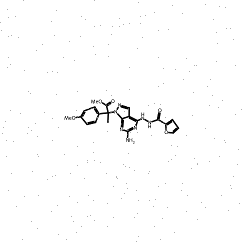 COC(=O)C(C)(c1ccc(OC)cc1)n1ncc2c(NNC(=O)c3ccco3)nc(N)nc21